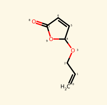 C=CCOC1C=CC(=O)O1